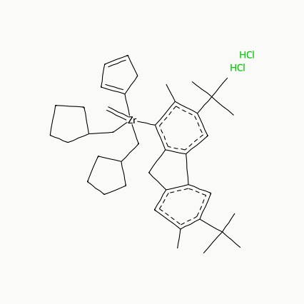 Cl.Cl.[CH2]=[Zr]([CH2]C1CCCC1)([CH2]C1CCCC1)([C]1=CC=CC1)[c]1c(C)c(C(C)(C)C)cc2c1Cc1cc(C)c(C(C)(C)C)cc1-2